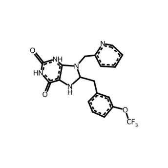 O=c1[nH]c2c(c(=O)[nH]1)NC(Cc1cccc(OC(F)(F)F)c1)N2Cc1ccccn1